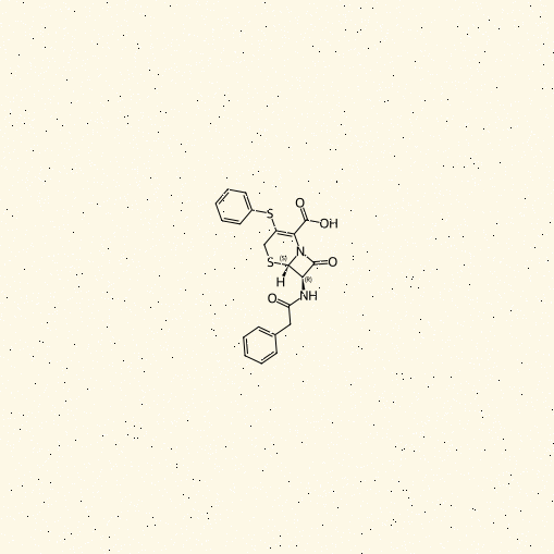 O=C(Cc1ccccc1)N[C@@H]1C(=O)N2C(C(=O)O)=C(Sc3ccccc3)CS[C@@H]12